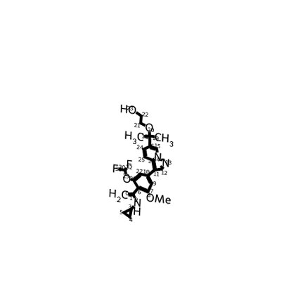 C=C(NC1CC1)c1c(OC)cc(-c2cnn3cc(C(C)(C)OCCO)ccc23)cc1OC(F)F